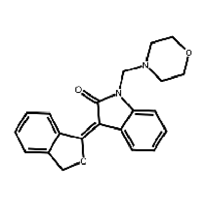 O=C1/C(=C2/OCc3ccccc32)c2ccccc2N1CN1CCOCC1